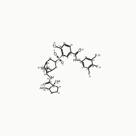 C[C@H]1CC2CC(S(=O)(=O)c3cc(C(=O)Nc4cc(F)c(F)c(F)c4)ccc3Cl)CC1[C@@]2(O)CNC(=O)[C@]1(O)CCC[C@H]1O